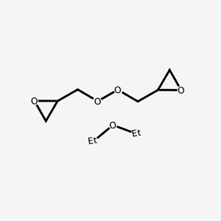 C(OOCC1CO1)C1CO1.CCOCC